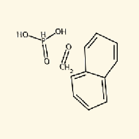 C=O.O=[PH](O)O.c1ccc2ccccc2c1